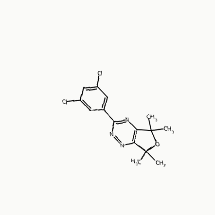 CC1(C)OC(C)(C)c2nc(-c3cc(Cl)cc(Cl)c3)nnc21